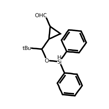 CC(C)(C)C(O[SiH](c1ccccc1)c1ccccc1)C1CC1C=O